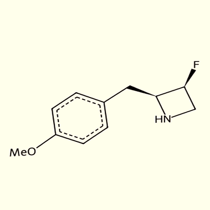 COc1ccc(C[C@@H]2NC[C@@H]2F)cc1